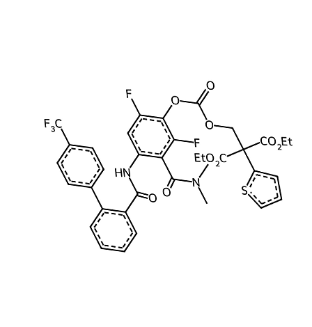 CCOC(=O)C(COC(=O)Oc1c(F)cc(NC(=O)c2ccccc2-c2ccc(C(F)(F)F)cc2)c(C(=O)N(C)C)c1F)(C(=O)OCC)c1cccs1